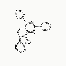 c1ccc(-c2nc(-c3ccccc3)c3ccc4c5ccccc5oc4c3n2)cc1